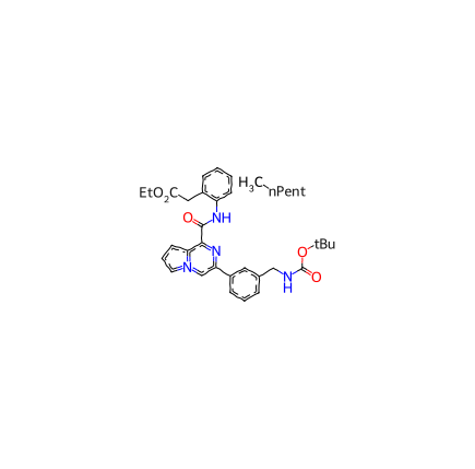 CCCCCC.CCOC(=O)Cc1ccccc1NC(=O)c1nc(-c2cccc(CNC(=O)OC(C)(C)C)c2)cn2cccc12